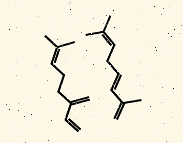 C=C(C)C=CCC=C(C)C.C=CC(=C)CCC=C(C)C